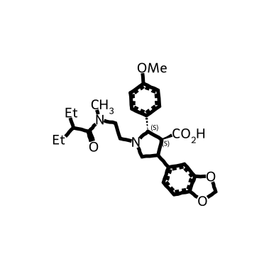 CCC(CC)C(=O)N(C)CCN1CC(c2ccc3c(c2)OCO3)[C@H](C(=O)O)[C@H]1c1ccc(OC)cc1